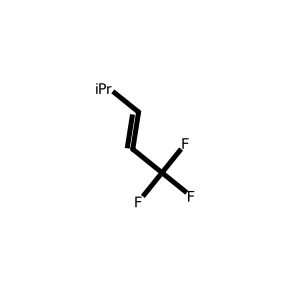 CC(C)/C=C/C(F)(F)F